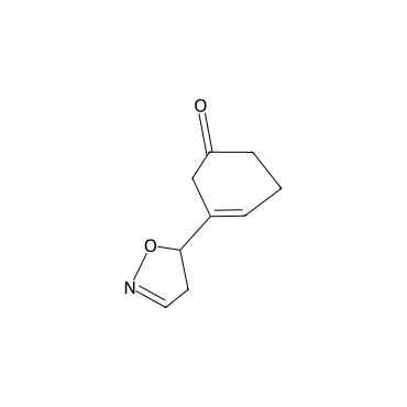 O=C1CCC=C(C2CC=NO2)C1